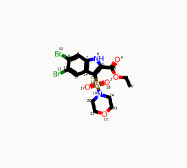 CCOC(=O)c1[nH]c2cc(Br)c(Br)cc2c1S(=O)(=O)N1CCOCC1